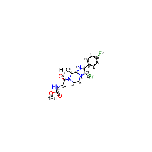 C[C@H]1c2nc(-c3ccc(F)cc3)c(Br)n2CCN1C(=O)CNC(=O)OC(C)(C)C